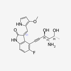 COc1cc[nH]c1/C=C1\C(=O)Nc2ccc(F)c(C#C[C@@H](O)[C@@H](N)[C@@H](C)O)c21